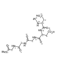 CSC(=O)CNC(=O)CNC(=O)CNC(=O)C(CC(=O)O)NC(=O)C(CC(=O)O)NC(C)C